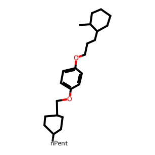 CCCCCC1CCC(COc2ccc(OCCCC3CCCCC3C)cc2)CC1